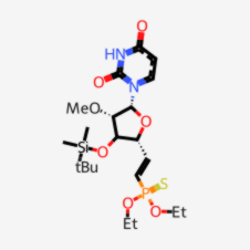 CCOP(=S)(/C=C/[C@H]1O[C@@H](n2ccc(=O)[nH]c2=O)[C@@H](OC)C1O[Si](C)(C)C(C)(C)C)OCC